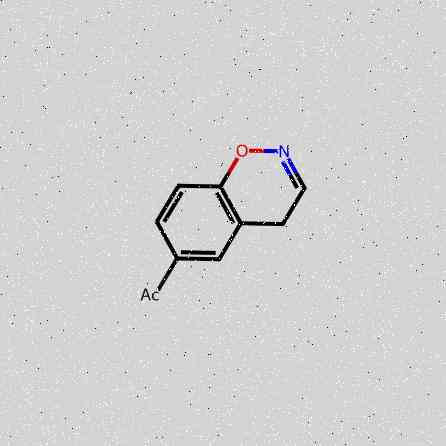 CC(=O)c1ccc2c(c1)CC=NO2